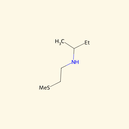 CCC(C)NCCSC